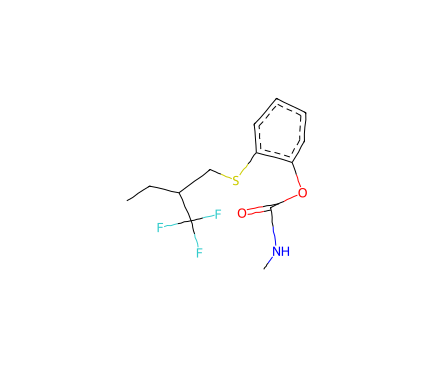 CCC(CSc1ccccc1OC(=O)NC)C(F)(F)F